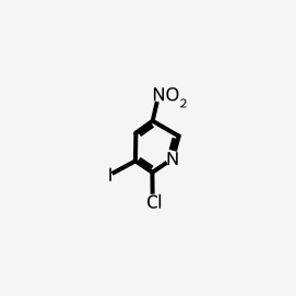 O=[N+]([O-])c1cnc(Cl)c(I)c1